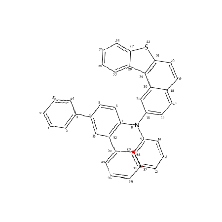 c1ccc(-c2ccc(N(c3ccccc3)c3ccc4ccc5sc6ccccc6c5c4c3)c(-c3ccccc3)c2)cc1